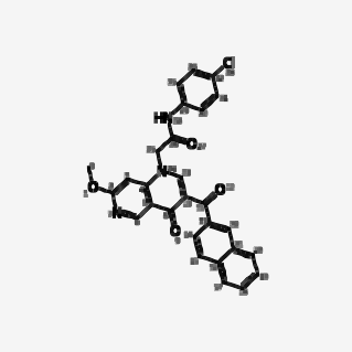 COc1cc2c(cn1)c(=O)c(C(=O)c1ccc3ccccc3c1)cn2CC(=O)Nc1ccc(Cl)cc1